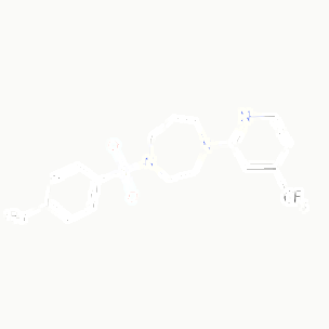 CC(C)(C)c1ccc(S(=O)(=O)N2CCCN(c3cc(C(F)(F)F)ccn3)CC2)cc1